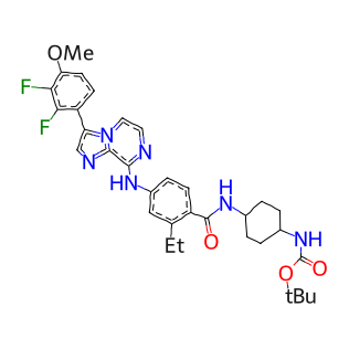 CCc1cc(Nc2nccn3c(-c4ccc(OC)c(F)c4F)cnc23)ccc1C(=O)NC1CCC(NC(=O)OC(C)(C)C)CC1